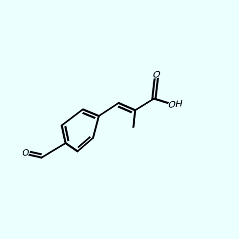 C/C(=C\c1ccc(C=O)cc1)C(=O)O